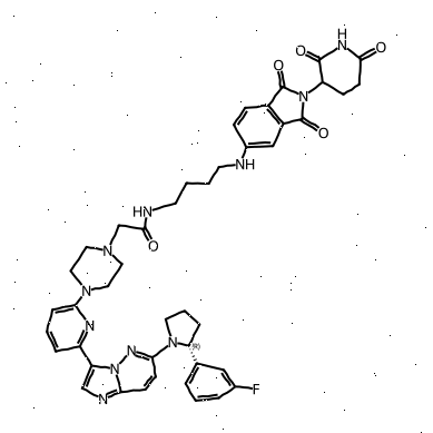 O=C(CN1CCN(c2cccc(-c3cnc4ccc(N5CCC[C@@H]5c5cccc(F)c5)nn34)n2)CC1)NCCCCNc1ccc2c(c1)C(=O)N(C1CCC(=O)NC1=O)C2=O